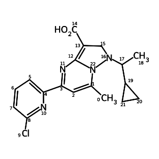 CC1=CC(c2cccc(Cl)n2)=NC2=C(C(=O)O)CN(C(C)C3CC3)N12